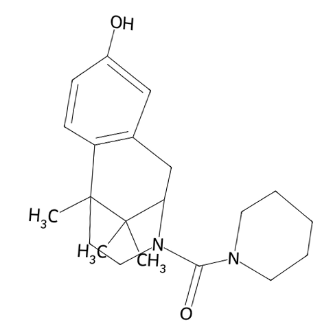 CC12CCN(C(=O)N3CCCCC3)C(Cc3cc(O)ccc31)C2(C)C